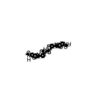 CC(=O)Nc1ccc2c(c1)OCc1cc(-c3cccc(N(CCC(=O)NCc4cc(-c5cc6n(n5)Cc5ccc(NC(C)=O)cc5OC6)ccc4F)C(C)=O)c3)nn1C2